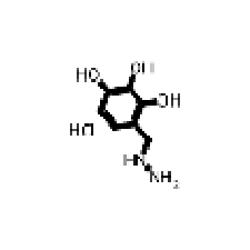 Cl.NNCc1ccc(O)c(O)c1O